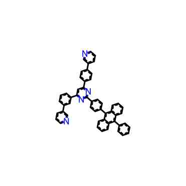 c1ccc(-c2c3ccccc3c(-c3ccc(-c4nc(-c5ccc(-c6cccnc6)cc5)cc(-c5cccc(-c6cccnc6)c5)n4)cc3)c3ccccc23)cc1